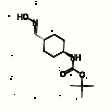 CC(C)(C)OC(=O)N[C@H]1CC[C@H](/C=N/O)CC1